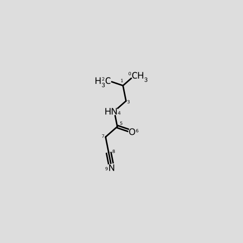 CC(C)CNC(=O)CC#N